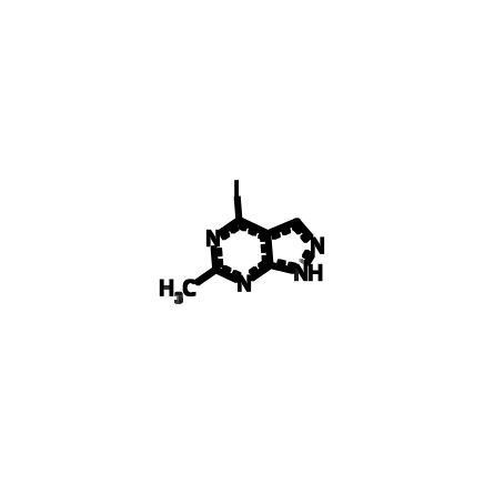 Cc1nc(I)c2cn[nH]c2n1